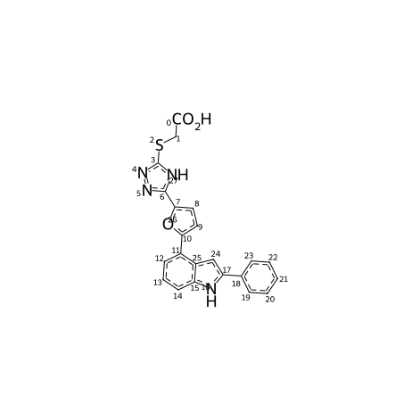 O=C(O)CSc1nnc(-c2ccc(-c3cccc4[nH]c(-c5ccccc5)cc34)o2)[nH]1